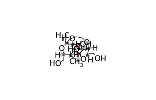 CO[C@@H]1[C@@H](O)[C@@]2(C)C3O[C@H](CO)[C@@H](OCCC[C@H]1O[C@@H]2CO)[C@H](O)[C@H]3O